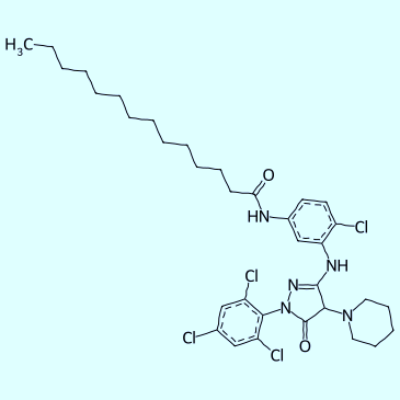 CCCCCCCCCCCCCC(=O)Nc1ccc(Cl)c(NC2=NN(c3c(Cl)cc(Cl)cc3Cl)C(=O)C2N2CCCCC2)c1